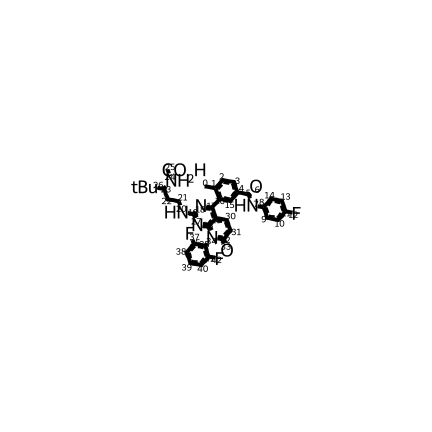 Cc1ccc(C(=O)Nc2ccc(F)cc2)cc1-c1nc(NCCC(NC(=O)O)C(C)(C)C)nc2c1ccc(=O)n2-c1c(F)cccc1F